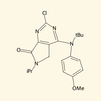 COc1ccc(N(c2nc(Cl)nc3c2CN(C(C)C)C3=O)C(C)(C)C)cc1